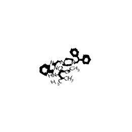 COC(=O)[C@@H](Nc1nc(CN2CCN(CC(c3ccccc3)c3ccccc3)CC2)nc2ccccc12)C(C)C